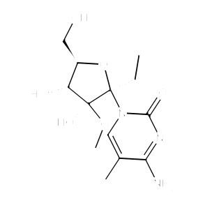 CC[C@@]1(n2cc(C)c(N)nc2=O)O[C@H](CO)[C@@H](O)[C@]1(O)OC